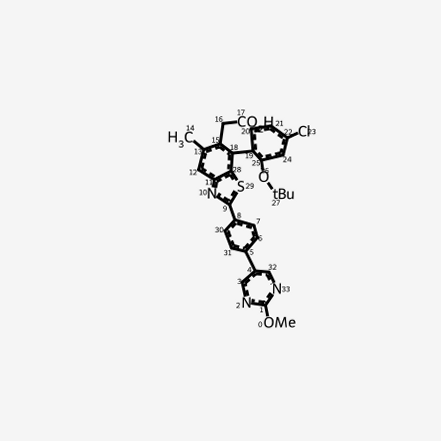 COc1ncc(-c2ccc(-c3nc4cc(C)c(CC(=O)O)c(-c5ccc(Cl)cc5OC(C)(C)C)c4s3)cc2)cn1